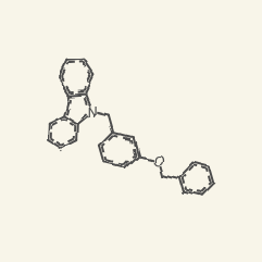 [c]1ccc2c3ccccc3n(Cc3cccc(OCc4ccccc4)c3)c2c1